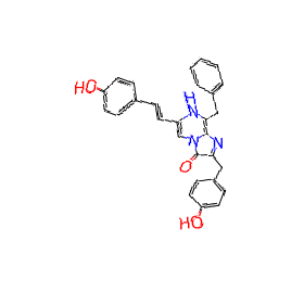 O=c1c(Cc2ccc(O)cc2)nc2c(Cc3ccccc3)[nH]c(/C=C/c3ccc(O)cc3)cn1-2